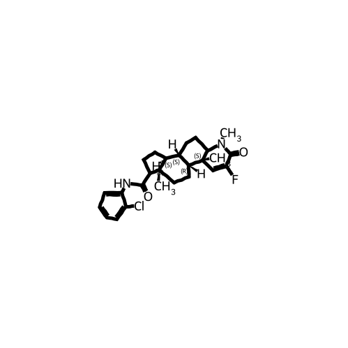 CN1C(=O)C(F)=C[C@@]2(C)C1CC[C@@H]1[C@H]2CC[C@]2(C)C(C(=O)Nc3ccccc3Cl)CC[C@@H]12